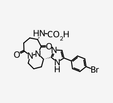 O=C(O)N[C@H]1CCC(=O)N2CCC[C@@H](c3ncc(-c4ccc(Br)cc4)[nH]3)N2C1=O